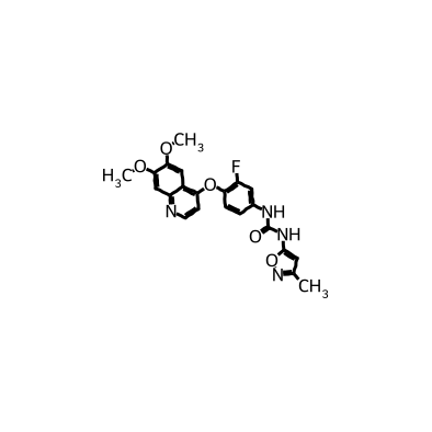 COc1cc2nccc(Oc3ccc(NC(=O)Nc4cc(C)no4)cc3F)c2cc1OC